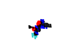 CN(C)C(=O)C(NC(=O)c1ccc(N2CC(F)(F)C2)c(OCC2CC2)n1)C(C)(C)C